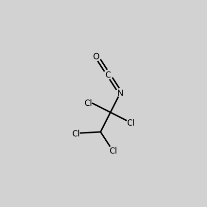 O=C=NC(Cl)(Cl)C(Cl)Cl